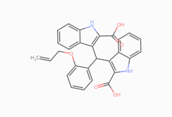 C=CCOc1ccccc1C(c1c(C(=O)O)[nH]c2ccccc12)c1c(C(=O)O)[nH]c2ccccc12